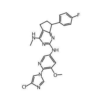 CNc1nc(Nc2cnc(-n3cnc(Cl)c3)c(OC)c2)nc2c1CCC2c1ccc(F)cc1